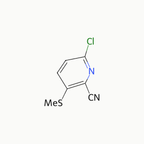 CSc1ccc(Cl)nc1C#N